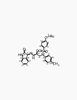 CCCCOc1ccc(S(=O)(=O)N(CC(=O)N/N=C2/C(=O)Nc3ccccc32)c2ccc(C)cc2)cc1